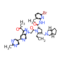 C=C[C@@H]1[C@@H](CN2C[C@H]3CCC[C@H]3C2)C[C@@H](C(=O)Nc2nc(Br)ccc2C)N1C(=O)Cn1nc(C(C)=O)c2cc(-c3cnc(C)nc3)ncc21